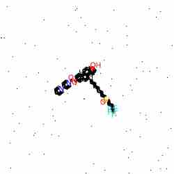 C[C@]12CC[C@@H]3c4ccc(OC(=O)N5CCC(N6CCCCC6)CC5)cc4C[C@@H](CCCCCCCCC[S+]([O-])CCCC(F)(F)C(F)(F)F)[C@H]3[C@@H]1CCC2O